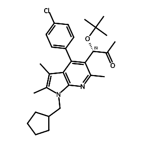 CC(=O)[C@@H](OC(C)(C)C)c1c(C)nc2c(c(C)c(C)n2CC2CCCC2)c1-c1ccc(Cl)cc1